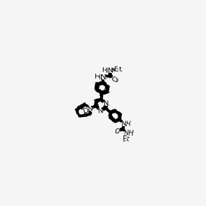 CCNC(=O)Nc1ccc(-c2cc(N3CC4CCC(C3)O4)nc(-c3ccc(NC(=O)NCC)cc3)n2)cc1